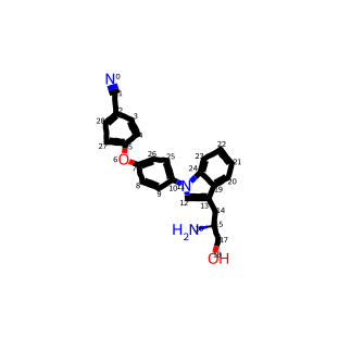 N#Cc1ccc(Oc2ccc(-n3cc(C[C@H](N)CO)c4ccccc43)cc2)cc1